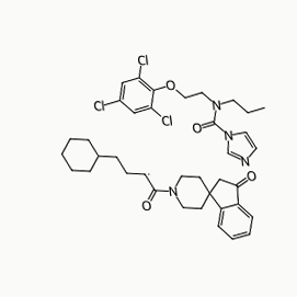 CCCN(CCOc1c(Cl)cc(Cl)cc1Cl)C(=O)n1ccnc1.O=C1CC2(CCN(C(=O)[CH]CCC3CCCCC3)CC2)c2ccccc21